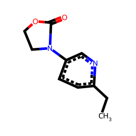 CCc1ccc(N2CCOC2=O)cn1